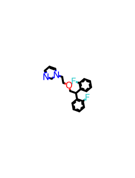 Fc1ccccc1C(COCCN1C=CC=NC1)c1ccccc1F